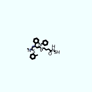 C/N=C(\C=C1/C=C(N(C)CCCC(=O)NS)N(c2ccccc2)c2ccccc21)Sc1ccccc1C